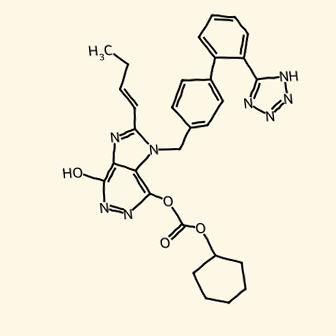 CCC=Cc1nc2c(O)nnc(OC(=O)OC3CCCCC3)c2n1Cc1ccc(-c2ccccc2-c2nnn[nH]2)cc1